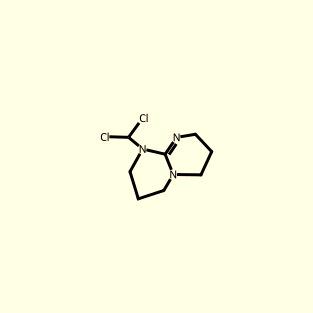 ClC(Cl)N1CCCN2CCCN=C21